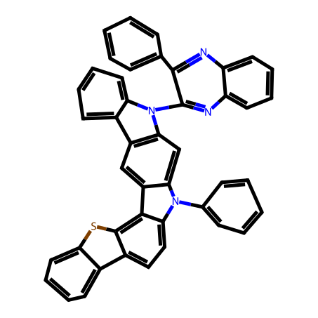 c1ccc(-c2nc3ccccc3nc2-n2c3ccccc3c3cc4c5c6sc7ccccc7c6ccc5n(-c5ccccc5)c4cc32)cc1